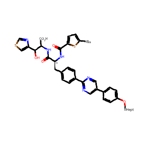 CCCCCCCOc1ccc(-c2cnc(-c3ccc(C[C@H](NC(=O)c4ccc(C(C)(C)C)s4)C(=O)NC(C(=O)O)C(O)c4cscn4)cc3)nc2)cc1